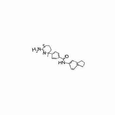 CC1(c2ccc(C(=O)Nc3ccc4c(c3)CCC4)cc2)CCSC(N)=N1